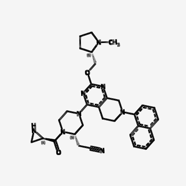 CN1CCC[C@H]1COc1nc2c(c(N3CCN(C(=O)[C@H]4CN4)[C@@H](CC#N)C3)n1)CCN(c1cccc3ccccc13)C2